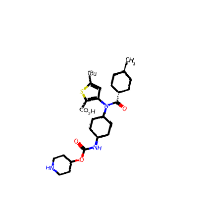 CC(C)(C)c1cc(N(C(=O)[C@H]2CC[C@H](C)CC2)C2CCC(NC(=O)OC3CCNCC3)CC2)c(C(=O)O)s1